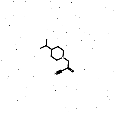 C=C(C#N)CN1CCC(C(C)C)CC1